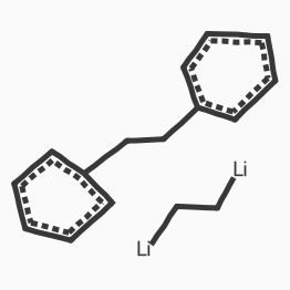 [Li][CH2][CH2][Li].c1ccc(CCc2ccccc2)cc1